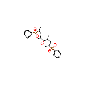 CC(CC(C)S(=O)(=O)c1ccccc1)C(=O)C(C)CC(C)S(=O)(=O)c1ccccc1